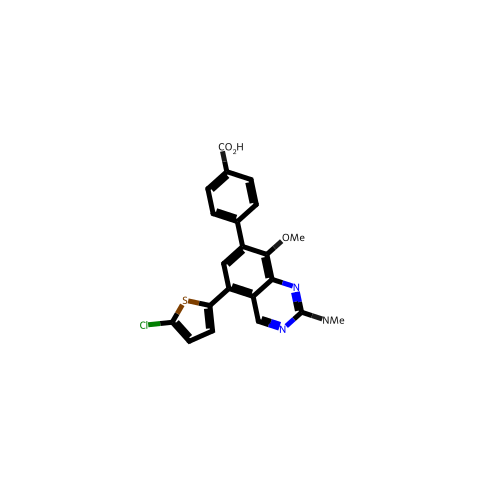 CNc1ncc2c(-c3ccc(Cl)s3)cc(-c3ccc(C(=O)O)cc3)c(OC)c2n1